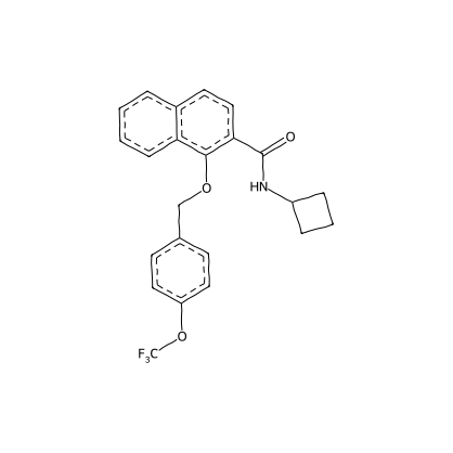 O=C(NC1CCC1)c1ccc2ccccc2c1OCc1ccc(OC(F)(F)F)cc1